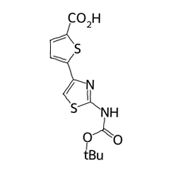 CC(C)(C)OC(=O)Nc1nc(-c2ccc(C(=O)O)s2)cs1